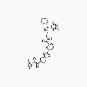 Cn1nnc(C(NCCNC(=O)c2cc(-c3nc4cc(NC(=O)c5cncn5C)ccc4o3)ccn2)c2ccccc2)n1